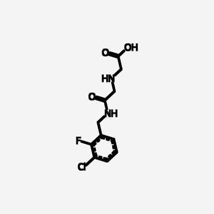 O=C(O)CNCC(=O)NCc1cccc(Cl)c1F